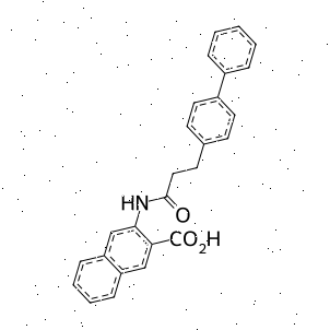 O=C(CCc1ccc(-c2ccccc2)cc1)Nc1cc2ccccc2cc1C(=O)O